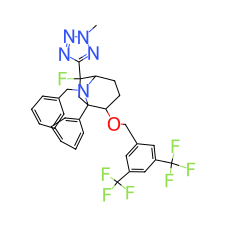 Cn1nnc(C2(F)CC3(c4ccccc4)C(OCc4cc(C(F)(F)F)cc(C(F)(F)F)c4)CCC2N3Cc2ccccc2)n1